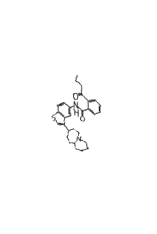 CCCC(=O)c1ccccc1C(=O)Nc1ccc2scc(C3CCC4CCCCN4CC3)c2c1